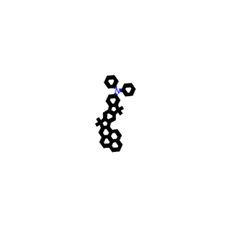 CC1(C)c2cc(N(c3ccccc3)c3ccccc3)ccc2-c2cc3c(cc21)-c1c(cc2ccc4cccc5ccc1c2c45)C3(C)C